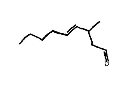 CCCCC=CC(C)CC=O